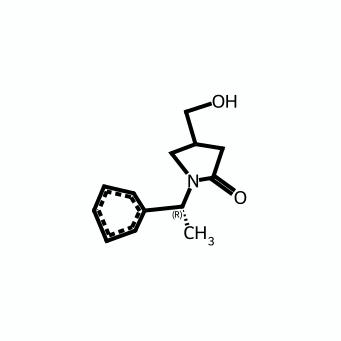 C[C@H](c1ccccc1)N1CC(CO)CC1=O